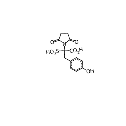 O=C1CCC(=O)N1C(Cc1ccc(O)cc1)(C(=O)O)S(=O)(=O)O